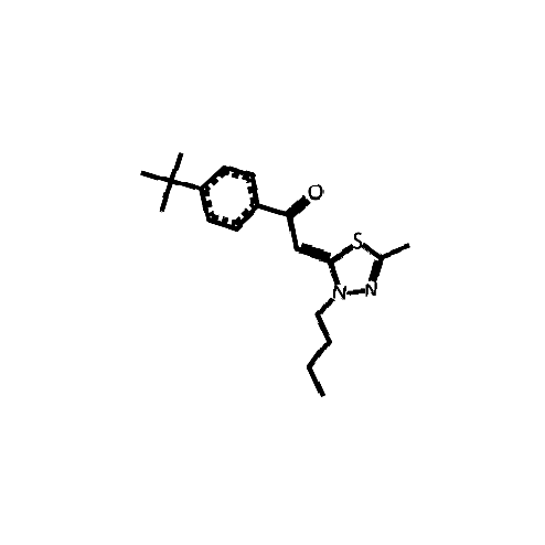 CCCCN1N=C(C)S/C1=C\C(=O)c1ccc(C(C)(C)C)cc1